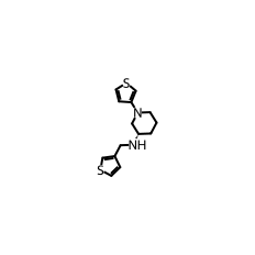 c1cc(CN[C@H]2CCCN(c3ccsc3)C2)cs1